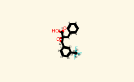 O=C(O)C1(Cc2ccccc2)OC1c1cccc(C(F)(F)F)c1